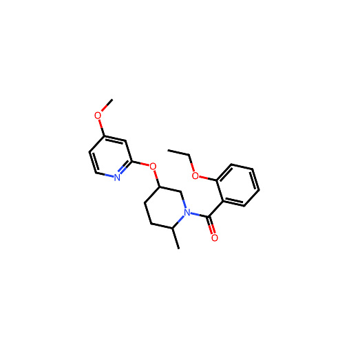 CCOc1ccccc1C(=O)N1CC(Oc2cc(OC)ccn2)CCC1C